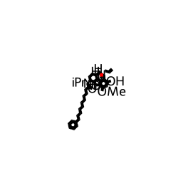 C=CCN1CC[C@]23c4c5c(O)cc(OC)c4O[C@H]2[C@@H](N(C(=O)CCCCCCCCCCc2ccccc2)C(C)C)CC[C@H]3[C@H]1C5